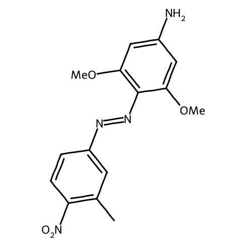 COc1cc(N)cc(OC)c1/N=N/c1ccc([N+](=O)[O-])c(C)c1